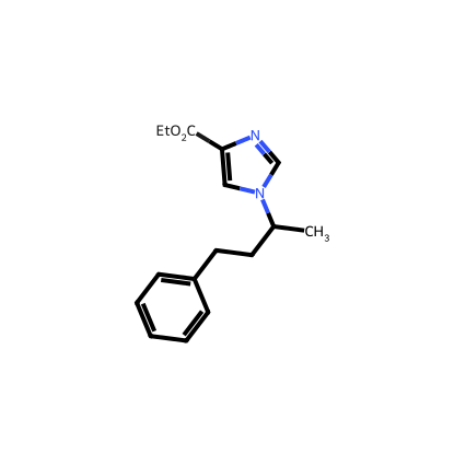 CCOC(=O)c1cn(C(C)CCc2ccccc2)cn1